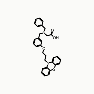 O=C(O)CN(Cc1ccccc1)Cc1cccc(OCCCN2c3ccccc3Sc3ccccc32)c1